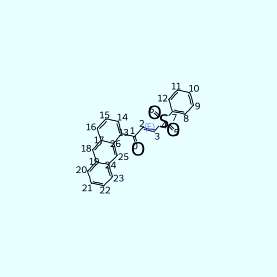 O=C(/C=C/S(=O)(=O)c1ccccc1)c1cccc2cc3ccccc3cc12